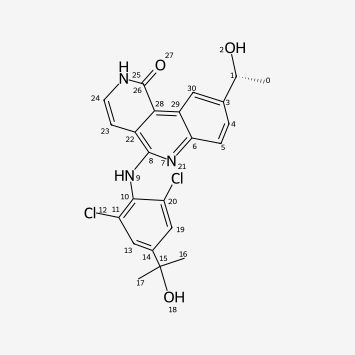 C[C@@H](O)c1ccc2nc(Nc3c(Cl)cc(C(C)(C)O)cc3Cl)c3cc[nH]c(=O)c3c2c1